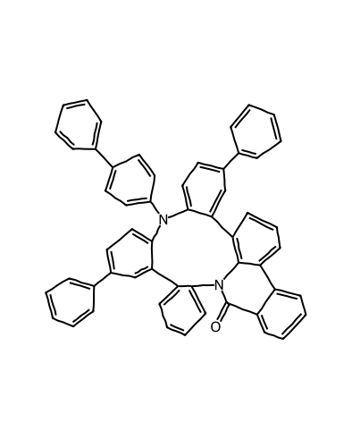 O=c1c2ccccc2c2cccc3c2n1-c1ccccc1-c1cc(-c2ccccc2)ccc1N(c1ccc(-c2ccccc2)cc1)c1ccc(-c2ccccc2)cc1-3